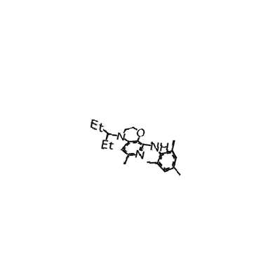 CCC(CC)N1CCOc2c1cc(C)nc2Nc1c(C)cc(C)cc1C